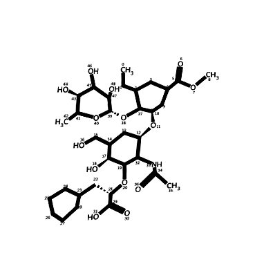 CCC1CC(C(=O)OC)C[C@@H](O[C@@H]2CC(CO)[C@H](O)C(O[C@@H](CC3CCCCC3)C(=O)O)C2NC(C)=O)C1O[C@@H]1OC(C)[C@@H](O)C(O)C1O